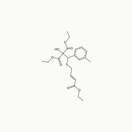 CCOC(=O)/C=C/CSC(c1cccc(C)c1)C(O)(C(=O)OCC)C(=O)OCC